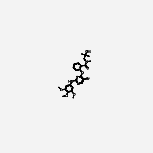 COc1cc(Nc2ncc(Br)c(Oc3ccccc3C(=O)N(C)CC(C)(C)O)n2)cc(OC)c1OC